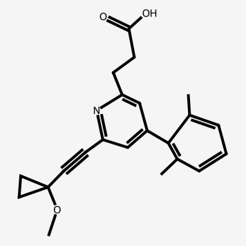 COC1(C#Cc2cc(-c3c(C)cccc3C)cc(CCC(=O)O)n2)CC1